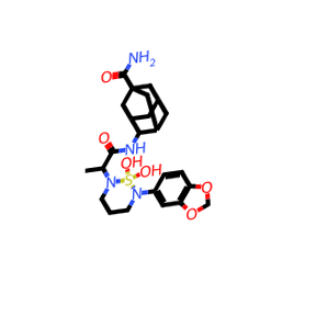 CC(C(=O)NC1C2CC3CC1CC(C(N)=O)(C3)C2)N1CCCN(c2ccc3c(c2)OCO3)S1(O)O